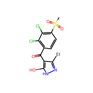 CCc1n[nH]c(O)c1C(=O)c1ccc(S(C)(=O)=O)c(Cl)c1Cl